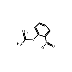 C=C(C)Sc1ccccc1[N+](=O)[O-]